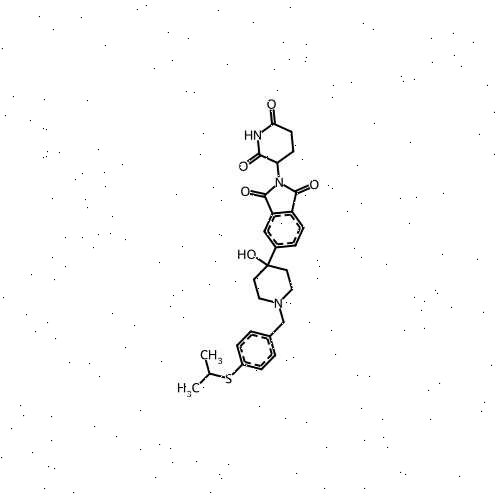 CC(C)Sc1ccc(CN2CCC(O)(c3ccc4c(c3)C(=O)N(C3CCC(=O)NC3=O)C4=O)CC2)cc1